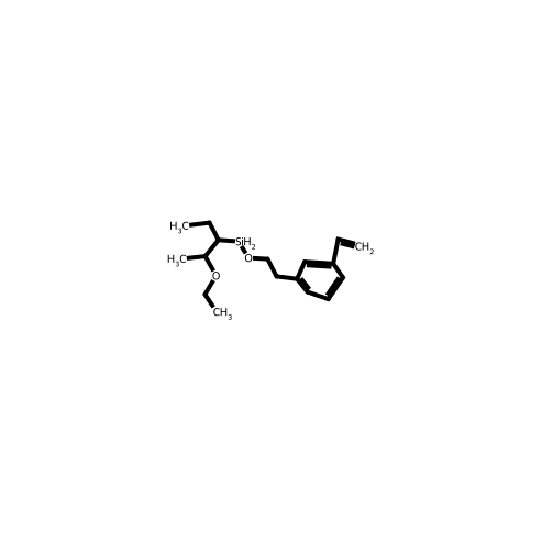 C=Cc1cccc(CCO[SiH2]C(CC)C(C)OCC)c1